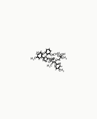 COc1cccc(OC)c1-n1c(NS(=O)(=O)[C@H](C)[C@H](OCC(C)(C)O)c2ncc(C)cn2)nnc1-c1cncc(C)c1